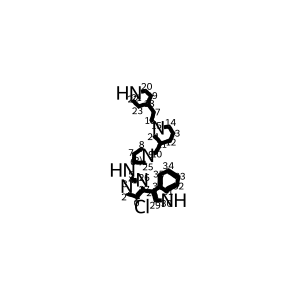 Clc1cnc(N[C@@H]2CCN(CC3CCCN(CCC4CCNCC4)C3)C2)nc1-c1c[nH]c2ccccc12